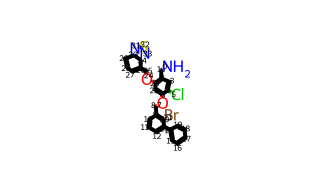 NCc1cc(Cl)c(OCc2cccc(-c3ccccc3)c2Br)cc1OCc1cccc2nsnc12